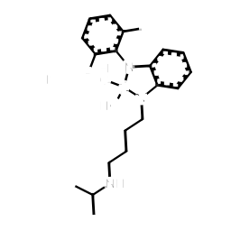 CC(C)NCCCCN1c2ccccc2N(c2c(F)cccc2F)S1(O)O.Cl